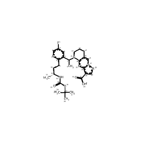 CC(c1cc(F)cnc1CC[C@@H](C)NC(=O)OC(C)(C)C)N1CCCc2cn3ncc(C(=O)O)c3nc21